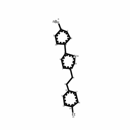 CCCCc1ccc(-c2ccc(CCc3ccc(CC)cc3)cn2)cc1